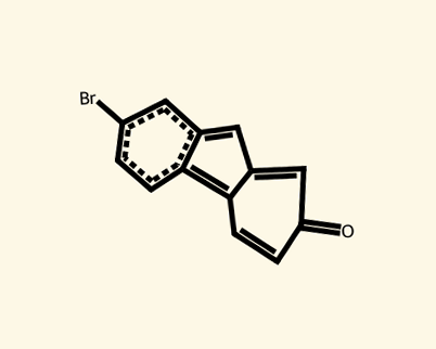 O=C1C=CC2=c3ccc(Br)cc3=CC2=C1